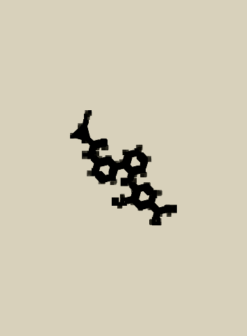 CCC(O)c1cc(C)c(Nc2ncncc2-c2cc(NC(=O)[C@H]3C[C@H]3F)ncn2)cn1